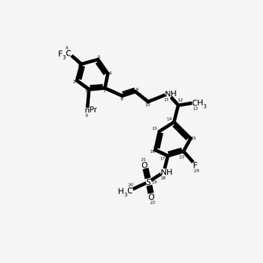 CCCc1cc(C(F)(F)F)ccc1C=CCNC(C)c1ccc(NS(C)(=O)=O)c(F)c1